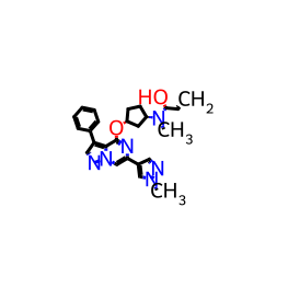 C=CC(O)N(C)[C@@H]1CC[C@H](Oc2nc(-c3cnn(C)c3)cn3ncc(-c4ccccc4)c23)C1